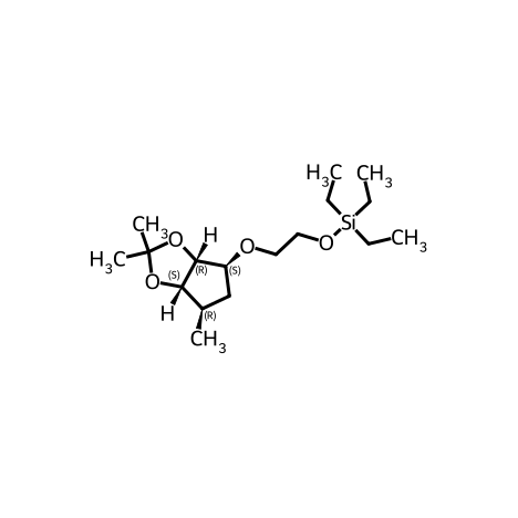 CC[Si](CC)(CC)OCCO[C@H]1C[C@@H](C)[C@@H]2OC(C)(C)O[C@@H]21